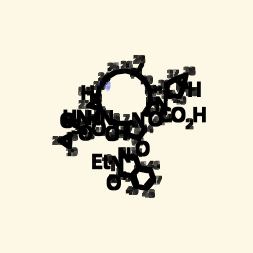 CCn1nc(O[C@@H]2C[C@H]3C(=O)N[C@]4(C(=O)NS(=O)(=O)C5CC5)C[C@H]4/C=C\CC[C@@H](C)C[C@@H](C)[C@H](N(C(=O)O)[C@H]4CC5C[C@H]5C4)C(=O)N3C2)c2ccccc2c1=O